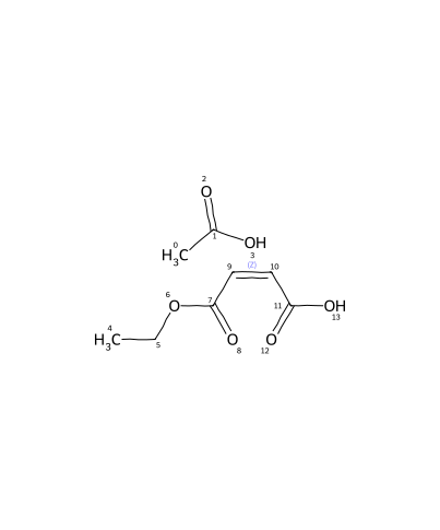 CC(=O)O.CCOC(=O)/C=C\C(=O)O